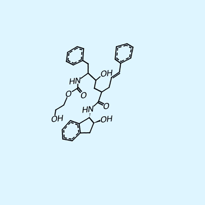 O=C(NC(Cc1ccccc1)C(O)CC(CC=Cc1ccccc1)C(=O)N[C@H]1c2ccccc2C[C@@H]1O)OCCO